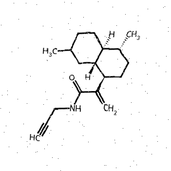 C#CCNC(=O)C(=C)[C@@H]1CC[C@@H](C)[C@@H]2CCC(C)C[C@H]21